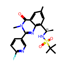 Cc1cc([C@@H](C)NS(=O)(=O)C(C)(C)C)c2nc(-c3ccc(F)nc3)n(C)c(=O)c2c1